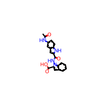 CC(=O)Nc1ccc2[nH]c(C(=O)Nn3c(C(=O)O)cc4ccccc43)cc2c1